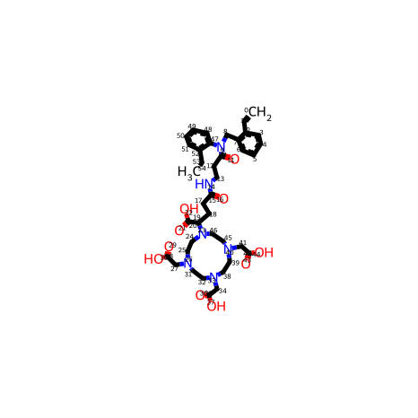 C=Cc1ccccc1CN(C(=O)CCNC(=O)CCC(C(=O)O)N1CCN(CC(=O)O)CCN(CC(=O)O)CCN(CC(=O)O)CC1)c1ccccc1CC